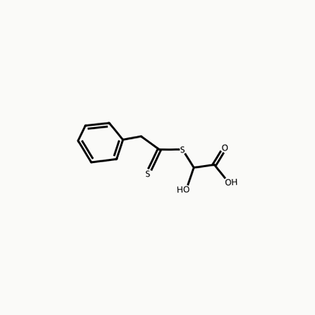 O=C(O)C(O)SC(=S)Cc1ccccc1